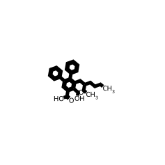 CCCCC(CC)Cc1c(C(=O)O)c(C(=O)O)cc(-c2ccccc2)c1-c1ccccc1